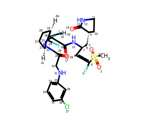 CS(=O)(=O)/C(F)=C\[C@H](C[C@H]1CCNC1=O)NC(=O)[C@H]1[C@@H]2CC[C@@H](CC2(F)F)N1C(=O)CNc1cccc(Cl)c1